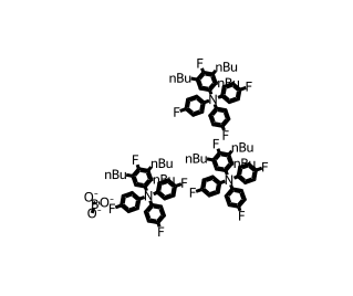 CCCCc1cc([N+](c2ccc(F)cc2)(c2ccc(F)cc2)c2ccc(F)cc2)c(CCCC)c(CCCC)c1F.CCCCc1cc([N+](c2ccc(F)cc2)(c2ccc(F)cc2)c2ccc(F)cc2)c(CCCC)c(CCCC)c1F.CCCCc1cc([N+](c2ccc(F)cc2)(c2ccc(F)cc2)c2ccc(F)cc2)c(CCCC)c(CCCC)c1F.[O-]B([O-])[O-]